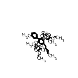 CCCCCc1cc(OP(C)(=O)N[C@@H](C)C(=O)OCC)c(-c2cccc(C)c2)c(OP(C)(=O)N[C@@H](C)C(=O)OCC)c1